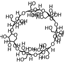 OCC1OC2O[C@H]3C(CO)O[C@@H](O[C@H]4C(CO)O[C@H](O[C@@H]5C(CO)O[C@H](O[C@]6(O)CO[C@H](O[C@@H]7C(CO)O[C@H](OC8C(CO)O[C@H](OC1[C@H](O)C2O)[C@@H](O)[C@H]8O)C(O)[C@H]7O)C(O)[C@H]6O)[C@@H](O)C5O)[C@@H](O)C4O)[C@@H](O)C3O